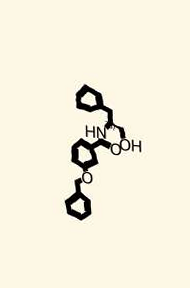 O=C(N[C@H](CO)Cc1ccccc1)c1cccc(OCc2ccccc2)c1